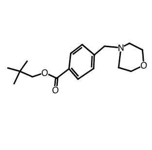 CC(C)(C)COC(=O)c1ccc(CN2CCOCC2)cc1